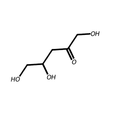 O=C(CO)CC(O)CO